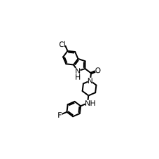 O=C(c1cc2cc(Cl)ccc2[nH]1)N1CCC(Nc2ccc(F)cc2)CC1